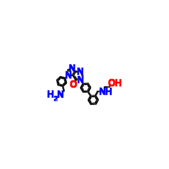 NCc1cccc(-n2cnc3ncn(-c4ccc(-c5ccccc5CNCCO)cc4)c(=O)c32)c1